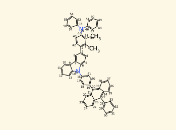 Cc1c(-c2ccc3c(c2)c2ccccc2n3-c2ccc(-c3c4ccccc4c(-c4ccccc4)c4ccccc34)cc2)ccc(N(c2ccccc2)c2ccccc2)c1C